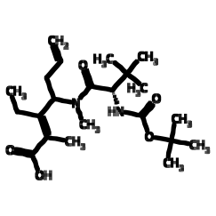 C=CCC(/C(CC)=C(\C)C(=O)O)N(C)C(=O)[C@@H](NC(=O)OC(C)(C)C)C(C)(C)C